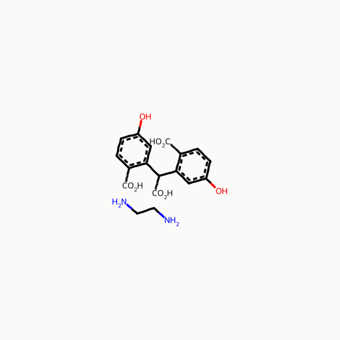 NCCN.O=C(O)c1ccc(O)cc1C(C(=O)O)c1cc(O)ccc1C(=O)O